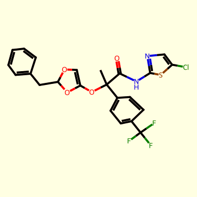 CC(OC1=COC(Cc2ccccc2)O1)(C(=O)Nc1ncc(Cl)s1)c1ccc(C(F)(F)F)cc1